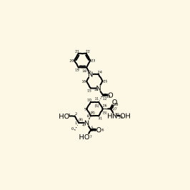 C[C@H](CO)N(C(=O)O)[C@@H]1CC[C@H](C(=O)N2CCN(c3ccccc3)CC2)[C@@H](C(=O)NO)C1